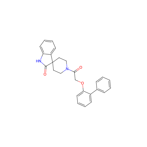 O=C(COc1ccccc1-c1ccccc1)N1CCC2(CC1)C(=O)Nc1ccccc12